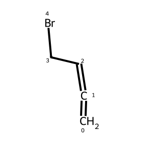 C=C=CCBr